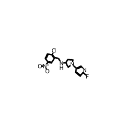 O=[N+]([O-])c1ccc(Cl)c(CNC2CCN(c3ccc(F)nc3)C2)c1